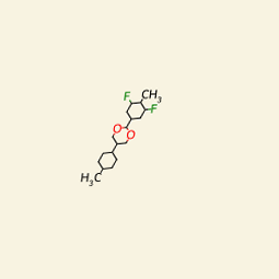 CC1CCC(C2COC(C3CC(F)C(C)C(F)C3)OC2)CC1